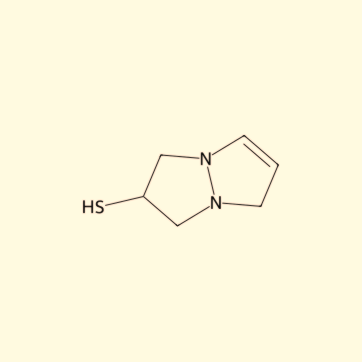 SC1CN2C=CCN2C1